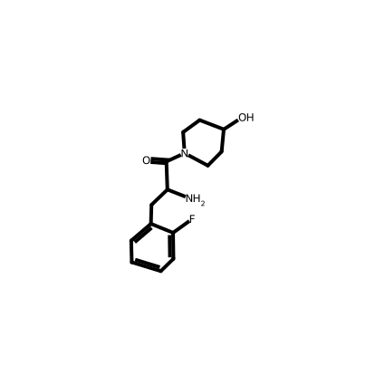 NC(Cc1ccccc1F)C(=O)N1CCC(O)CC1